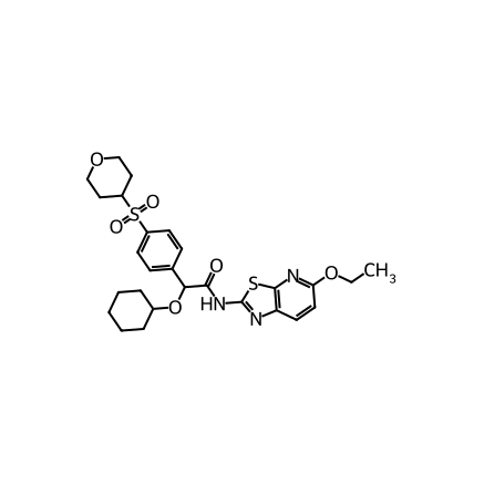 CCOc1ccc2nc(NC(=O)C(OC3CCCCC3)c3ccc(S(=O)(=O)C4CCOCC4)cc3)sc2n1